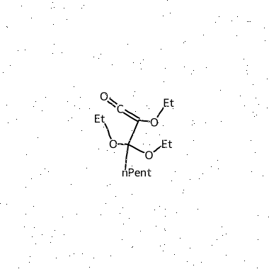 CCCCCC(OCC)(OCC)C(=C=O)OCC